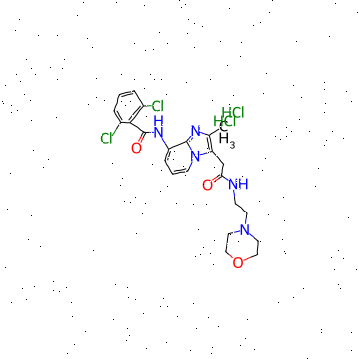 Cc1nc2c(NC(=O)c3c(Cl)cccc3Cl)cccn2c1CC(=O)NCCN1CCOCC1.Cl.Cl